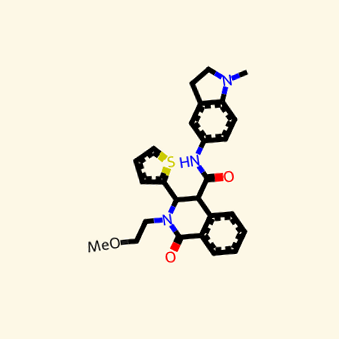 COCCN1C(=O)c2ccccc2C(C(=O)Nc2ccc3c(c2)CCN3C)C1c1cccs1